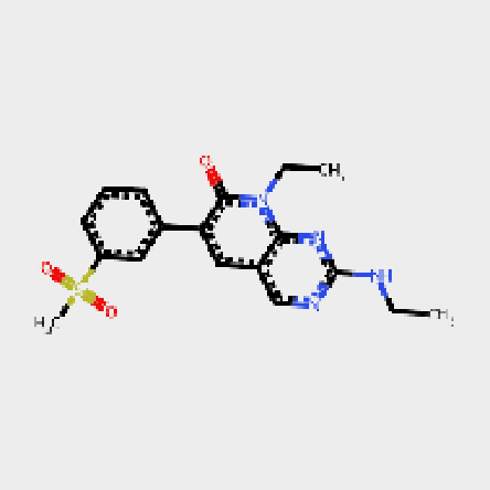 CCNc1ncc2cc(-c3cccc(S(C)(=O)=O)c3)c(=O)n(CC)c2n1